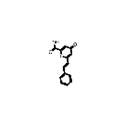 O=C(O)c1cc(=O)cc(/C=C/c2ccccc2)o1